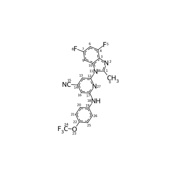 Cc1nc2c(F)cc(F)cc2n1-c1cc(C#N)cc(Nc2ccc(OC(F)(F)F)cc2)n1